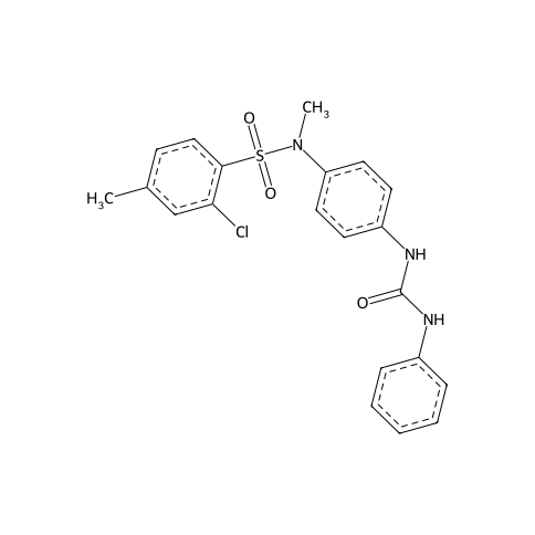 Cc1ccc(S(=O)(=O)N(C)c2ccc(NC(=O)Nc3ccccc3)cc2)c(Cl)c1